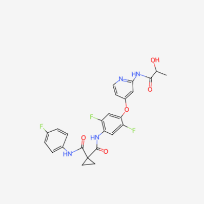 CC(O)C(=O)Nc1cc(Oc2cc(F)c(NC(=O)C3(C(=O)Nc4ccc(F)cc4)CC3)cc2F)ccn1